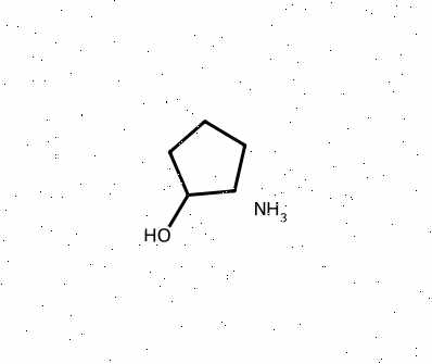 N.OC1CCCC1